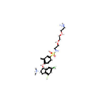 Cc1cc(S(=O)(=O)NCCOCCOCCN)ccc1O[C@H]1c2cc(Cl)cc(F)c2C[C@@H]1N(C)C